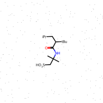 CC(C)CC(C(=O)NC(C)(C)CS(=O)(=O)O)C(C)(C)C